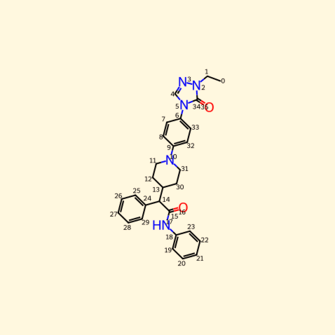 CCn1ncn(-c2ccc(N3CCC(C(C(=O)Nc4ccccc4)c4ccccc4)CC3)cc2)c1=O